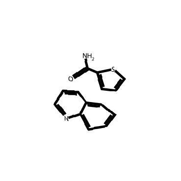 NC(=O)c1cccs1.c1ccc2ncccc2c1